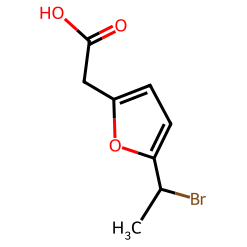 CC(Br)c1ccc(CC(=O)O)o1